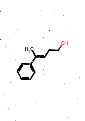 C/C(=C\CCO)c1ccccc1